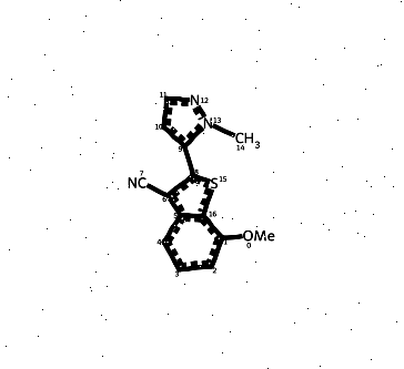 COc1cccc2c(C#N)c(-c3ccnn3C)sc12